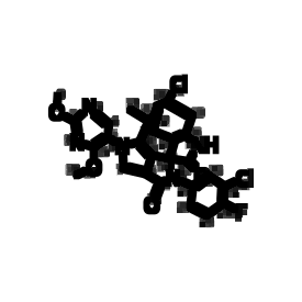 COc1ncc(-n2cc3c(c2C(C)C)[C@@]2(C(=O)Nc4cc(Cl)ccc42)N(c2ccc(F)c(Cl)c2)C3=O)c(OC)n1